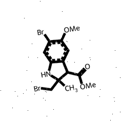 COC(=O)C1c2cc(OC)c(Br)cc2NC1(C)CBr